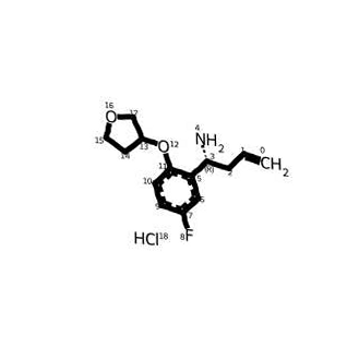 C=CC[C@@H](N)c1cc(F)ccc1OC1CCOC1.Cl